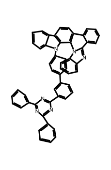 c1ccc(-c2nc(-c3ccccc3)nc(-c3cccc(-c4ccc(-n5c6ccccc6c6ccc7c8ccccc8c8nc9ccccc9n8c7c65)cc4)c3)n2)cc1